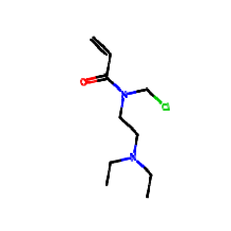 C=CC(=O)N(CCl)CCN(CC)CC